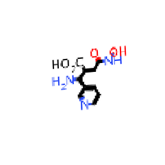 NC(c1cccnc1)C(CC(=O)NO)C(=O)O